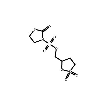 O=S1(=O)CCC(COS(=O)(=O)N2CCSC2=S)O1